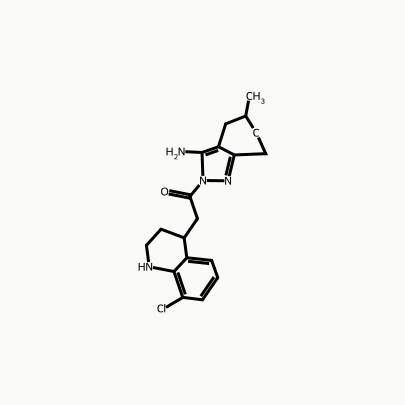 CC1CCc2nn(C(=O)CC3CCNc4c(Cl)cccc43)c(N)c2C1